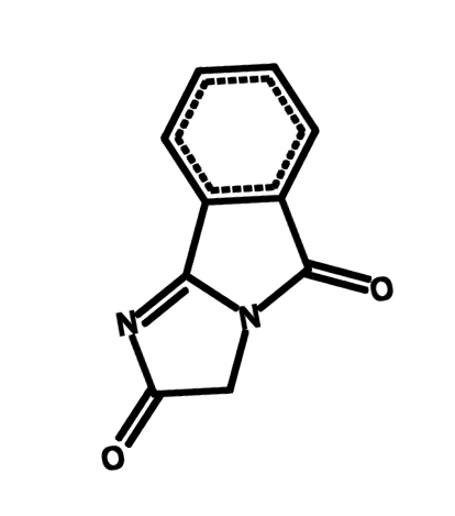 O=C1CN2C(=O)c3ccccc3C2=N1